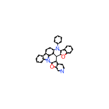 c1ccc(N2c3ccc4c5ccccc5n5c4c3C(c3oc4ccccc4c32)c2c-5oc3cnccc23)cc1